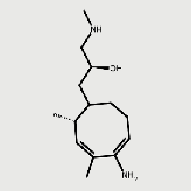 CNC[C@@H](O)CC1CC/C=C(N)\C(C)=C/[C@@H]1C